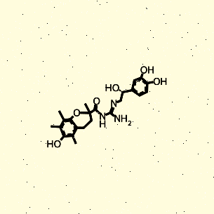 Cc1c(C)c2c(c(C)c1O)CCC(C)(C(=O)NC(N)=NC[C@H](O)c1ccc(O)c(O)c1)O2